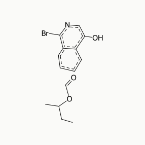 CCC(C)OC=O.Oc1cnc(Br)c2ccccc12